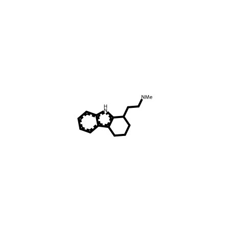 CNCCC1CCCc2c1[nH]c1ccccc21